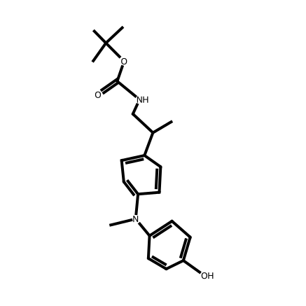 CC(CNC(=O)OC(C)(C)C)c1ccc(N(C)c2ccc(O)cc2)cc1